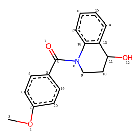 COc1ccc(C(=O)N2CCC(O)c3ccccc32)cc1